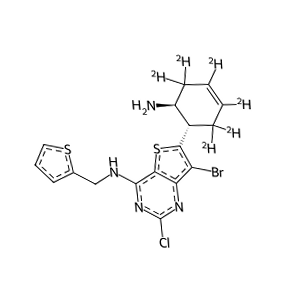 [2H]C1=C([2H])C([2H])([2H])[C@H](c2sc3c(NCc4cccs4)nc(Cl)nc3c2Br)[C@@H](N)C1([2H])[2H]